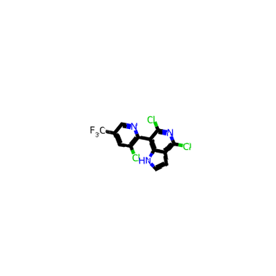 FC(F)(F)c1cnc(-c2c(Cl)nc(Cl)c3cc[nH]c23)c(Cl)c1